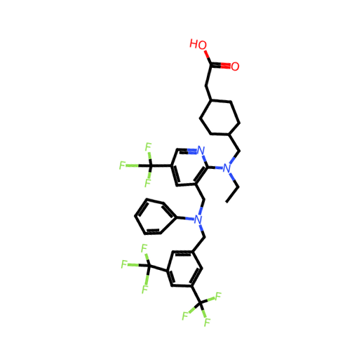 CCN(CC1CCC(CC(=O)O)CC1)c1ncc(C(F)(F)F)cc1CN(Cc1cc(C(F)(F)F)cc(C(F)(F)F)c1)c1ccccc1